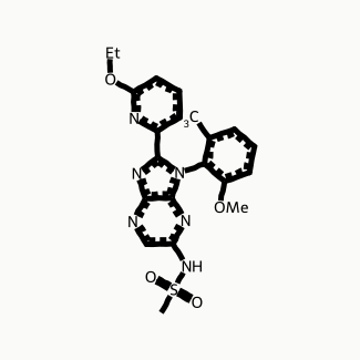 CCOc1cccc(-c2nc3ncc(NS(C)(=O)=O)nc3n2-c2c(OC)cccc2C(F)(F)F)n1